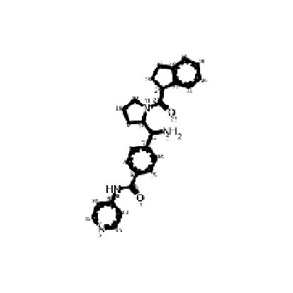 NC(c1ccc(C(=O)Nc2ccncc2)cc1)C1CCCN1C(=O)C1CCc2ccccc21